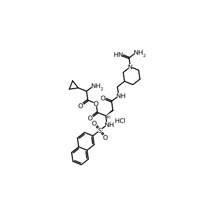 Cl.N=C(N)N1CCCC(CNC(=O)C[C@@H](NS(=O)(=O)c2ccc3ccccc3c2)C(=O)OC(=O)C(N)C2CC2)C1